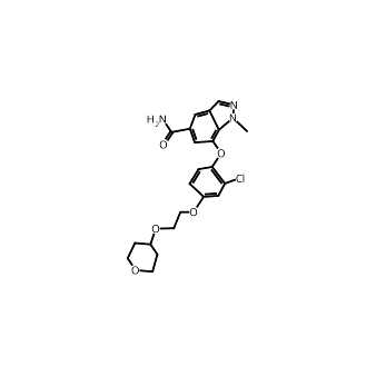 Cn1ncc2cc(C(N)=O)cc(Oc3ccc(OCCOC4CCOCC4)cc3Cl)c21